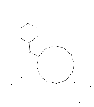 C1CCCCCC([P]C2CCCCC2)CCCCC1